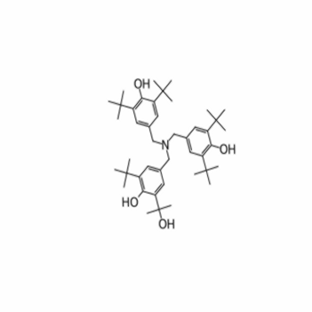 CC(C)(C)c1cc(CN(Cc2cc(C(C)(C)C)c(O)c(C(C)(C)C)c2)Cc2cc(C(C)(C)C)c(O)c(C(C)(C)O)c2)cc(C(C)(C)C)c1O